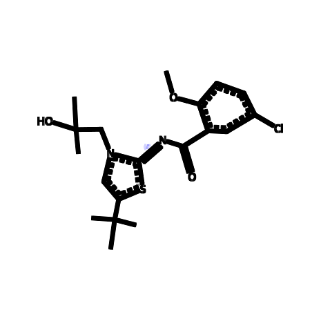 COc1ccc(Cl)cc1C(=O)/N=c1\sc(C(C)(C)C)cn1CC(C)(C)O